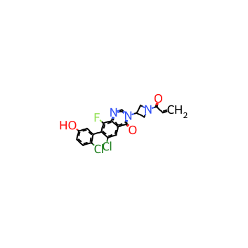 C=CC(=O)N1CC(n2cnc3c(F)c(-c4cc(O)ccc4Cl)c(Cl)cc3c2=O)C1